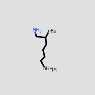 CCCCCCCCCCCC(CN)CCCC